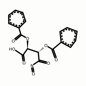 O=NC(=O)[C@@H](OC(=O)c1ccccc1)[C@H](OC(=O)c1ccccc1)C(=O)O